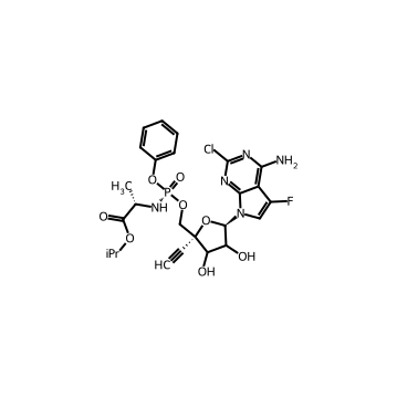 C#C[C@]1(CO[P@@](=O)(N[C@@H](C)C(=O)OC(C)C)Oc2ccccc2)O[C@@H](n2cc(F)c3c(N)nc(Cl)nc32)C(O)C1O